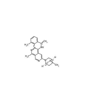 Cc1cccc([C@@H](C)Nc2nnc(C)c3cnc(N4C[C@H]5CC[C@@H]4CN5C)cc23)c1F